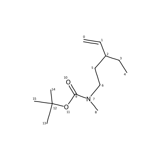 C=CC(CC)CCN(C)C(=O)OC(C)(C)C